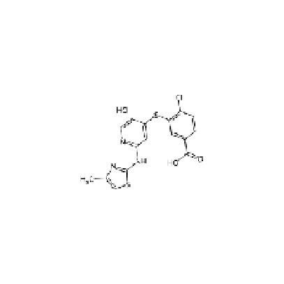 Cc1csc(Nc2cc(Sc3cc(C(=O)O)ccc3Cl)ccn2)n1.Cl